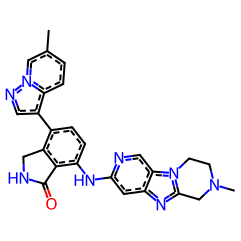 Cc1ccc2c(-c3ccc(Nc4cc5nc6n(c5cn4)CCN(C)C6)c4c3CNC4=O)cnn2c1